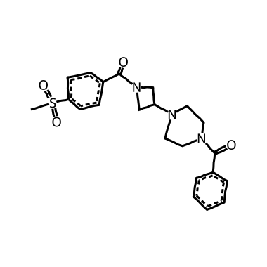 CS(=O)(=O)c1ccc(C(=O)N2CC(N3CCN(C(=O)c4ccccc4)CC3)C2)cc1